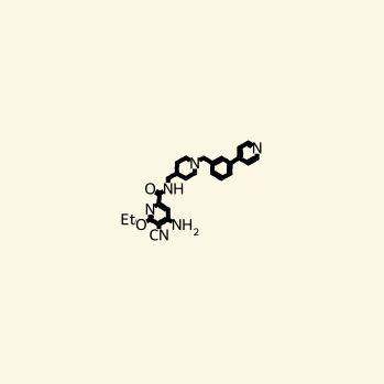 CCOc1nc(C(=O)NCC2CCN(Cc3cccc(-c4ccncc4)c3)CC2)cc(N)c1C#N